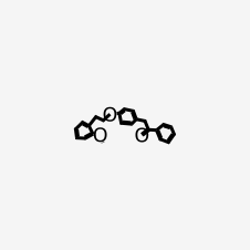 COc1ccccc1CCOc1ccc(CC(=O)c2ccccc2)cc1